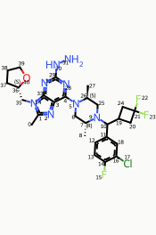 Cc1nc2c(N3C[C@@H](C)N(C(c4ccc(F)c(Cl)c4)C4CC(F)(F)C4)C[C@@H]3C)nc(NN)nc2n1C[C@@H]1CCCO1